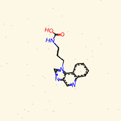 O=C(O)NCCCn1cnc2cnc3ccccc3c21